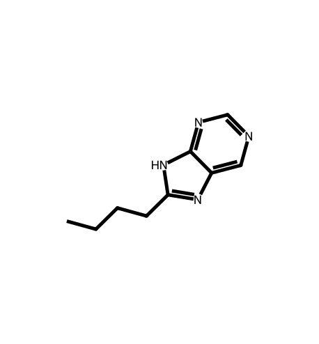 CCCCc1nc2cncnc2[nH]1